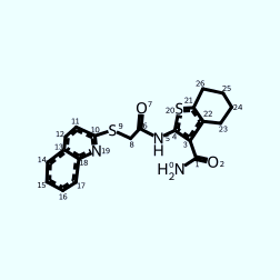 NC(=O)c1c(NC(=O)CSc2ccc3ccccc3n2)sc2c1CCCC2